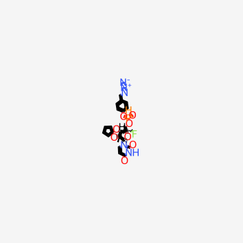 C[C@@]12OC3(CCCC3)O[C@@H]1[C@@](CF)(CO[PH](=O)Oc1ccc(CN=[N+]=[N-])cc1)O[C@H]2n1ccc(=O)[nH]c1=O